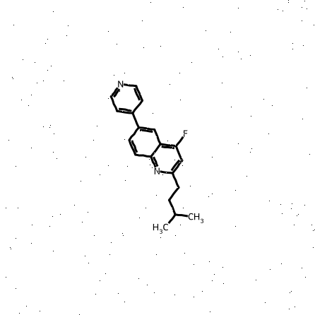 CC(C)CCc1cc(F)c2cc(-c3ccncc3)ccc2n1